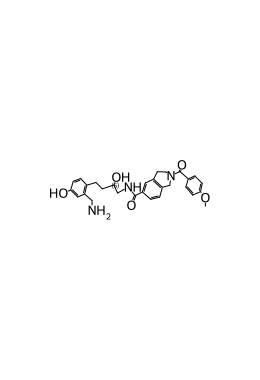 COc1ccc(C(=O)N2CCc3cc(C(=O)NC[C@@H](O)CCc4ccc(O)cc4CN)ccc3C2)cc1